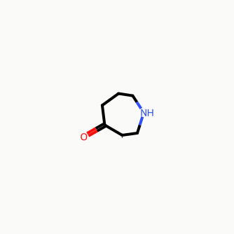 O=C1[CH]CNCCC1